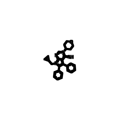 N=c1c2c(-c3ccccc3)c(-c3ccccc3)n(CC3CC3)c2ncn1C1CCOCC1